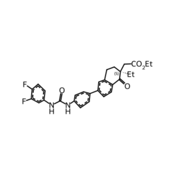 CCOC(=O)C[C@]1(CC)CCc2cc(-c3ccc(NC(=O)Nc4ccc(F)c(F)c4)cc3)ccc2C1=O